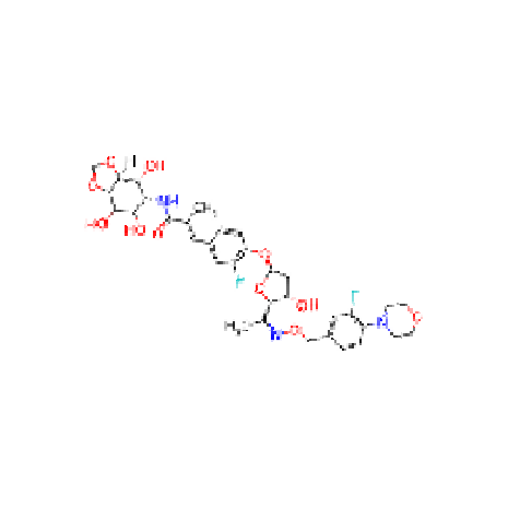 C/C(=N/OCc1ccc(N2CCOCC2)c(F)c1)[C@H]1O[C@@H](Oc2ccc(/C=C(\C)C(=O)N[C@@H]3C(O)C(O)C4OCO[C@H]4[C@@H]3O)cc2F)C[C@@H]1O